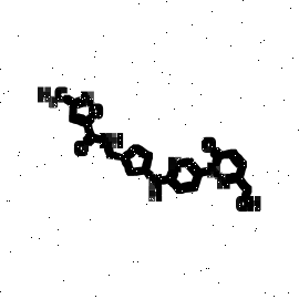 Cc1cc(C(=O)NC[C@H]2CC[C@@H](Nc3ccc(-n4nc(CO)ccc4=O)cn3)C2)on1